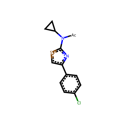 CC(=O)N(c1nc(-c2ccc(Cl)cc2)cs1)C1CC1